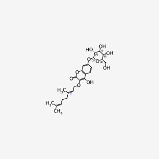 CC(C)=CCC/C(C)=C/COc1c(O)c2ccc(O[C@@H]3O[C@H](CO)[C@H](O)[C@H](O)[C@H]3O)cc2oc1=O